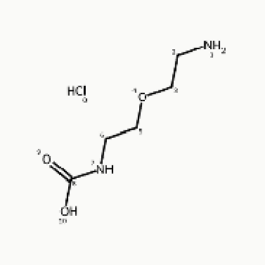 Cl.NCCOCCNC(=O)O